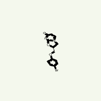 O=c1ccn2c(n1)O[C@@H](COc1ccc(Br)cc1)C2